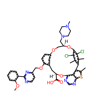 COc1ccccc1-c1nccc(COc2ccc3cc2C[C@H](C(=O)O)Oc2ncnc4sc(C)c(c24)-c2c(C)c(Cl)c(c(Cl)c2C)O[C@H](CN2CCN(C)CC2)CO3)n1